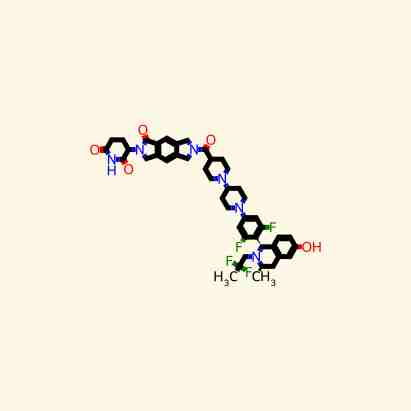 C[C@@H]1Cc2cc(O)ccc2[C@@H](c2c(F)cc(N3CCC(N4CCC(C(=O)N5Cc6cc7c(cc6C5)C(=O)N(C5CCC(=O)NC5=O)C7)CC4)CC3)cc2F)N1CC(C)(F)F